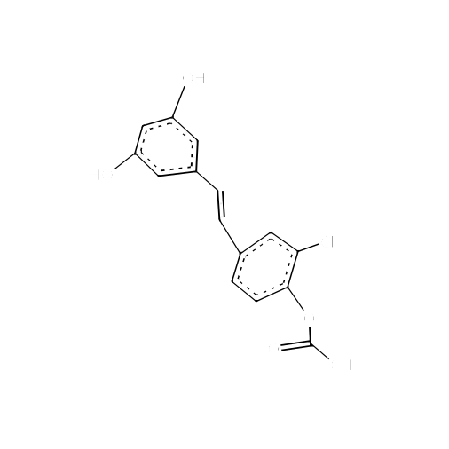 CC(=O)Oc1ccc(C=Cc2cc(O)cc(O)c2)cc1Cl